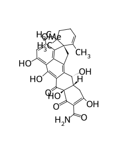 COc1cc(O)c2c(O)c3c(c4c2c1[C@@]1(C4)C(C)=CCCC1(C)C)[C@H](O)[C@@H]1CC(O)=C(C(N)=O)C(=O)[C@]1(O)C3=O